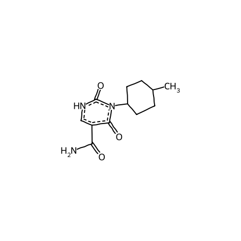 CC1CCC(n2c(=O)[nH]cc(C(N)=O)c2=O)CC1